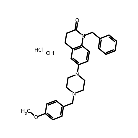 COc1ccc(CN2CCN(c3ccc4c(c3)CCC(=O)N4Cc3ccccc3)CC2)cc1.Cl.Cl